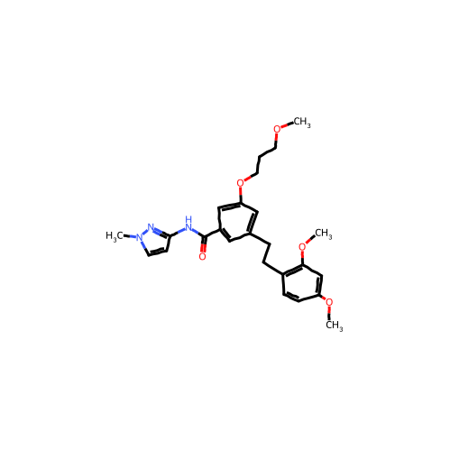 COCCCOc1cc(CCc2ccc(OC)cc2OC)cc(C(=O)Nc2ccn(C)n2)c1